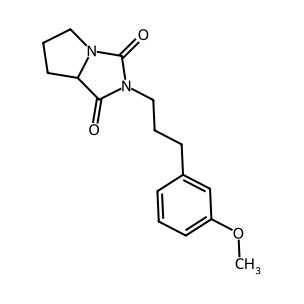 COc1cccc(CCCN2C(=O)C3CCCN3C2=O)c1